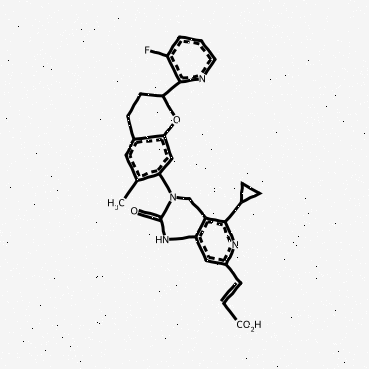 Cc1cc2c(cc1N1Cc3c(cc(C=CC(=O)O)nc3C3CC3)NC1=O)OC(c1ncccc1F)CC2